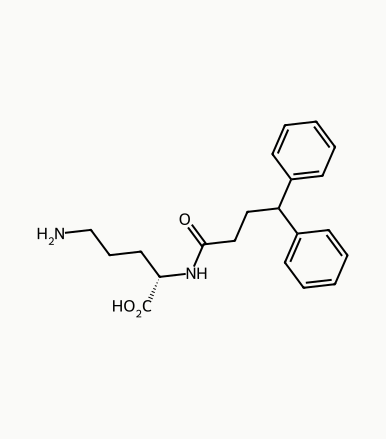 NCCC[C@H](NC(=O)CCC(c1ccccc1)c1ccccc1)C(=O)O